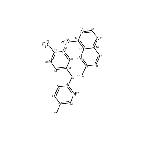 Cc1ccc([C@@H](Cc2ccc3ncnc(N)c3n2)c2cnc(C(F)(F)F)nc2)nc1